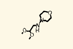 COC(CNN1CCOCC1)OC